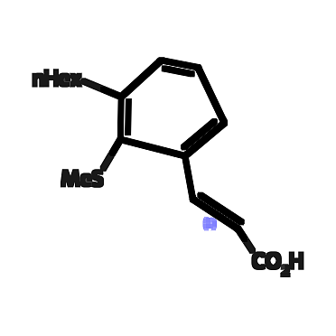 CCCCCCc1cccc(/C=C/C(=O)O)c1SC